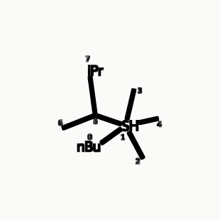 CCCC[SH](C)(C)(C)C(C)C(C)C